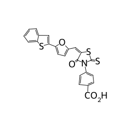 O=C(O)c1ccc(N2C(=O)C(=Cc3ccc(-c4cc5ccccc5s4)o3)SC2=S)cc1